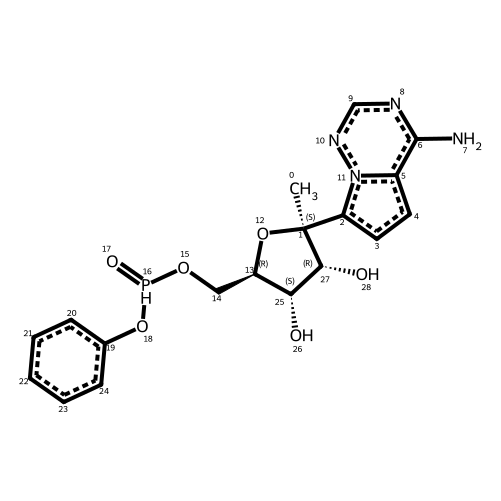 C[C@@]1(c2ccc3c(N)ncnn23)O[C@H](CO[PH](=O)Oc2ccccc2)[C@@H](O)[C@H]1O